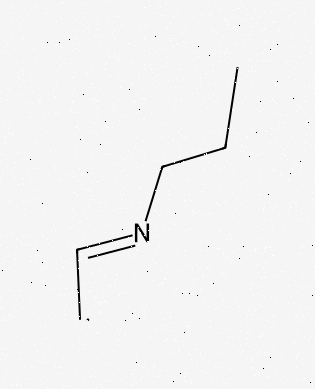 [CH2]C=NCCC